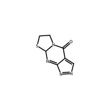 O=C1C2=CN=NC2=NC2SCCN12